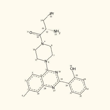 Cc1ccc2c(N3CCN(C(=O)[C@@H](N)CC(C)C)CC3)nc(-c3ccccc3O)nc2c1